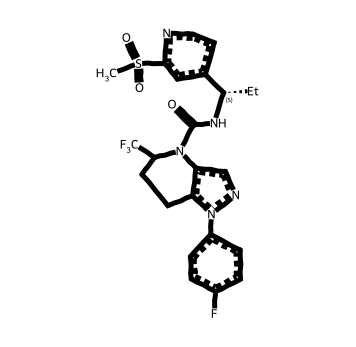 CC[C@H](NC(=O)N1c2cnn(-c3ccc(F)cc3)c2CCC1C(F)(F)F)c1ccnc(S(C)(=O)=O)c1